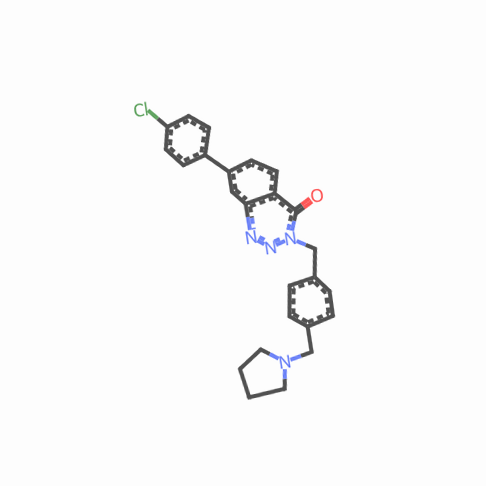 O=c1c2ccc(-c3ccc(Cl)cc3)cc2nnn1Cc1ccc(CN2CCCC2)cc1